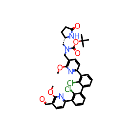 COc1nc(-c2cccc(-c3cccc(-c4ccc(CN(C[C@@H]5CCC(=O)N5)C(=O)OC(C)(C)C)c(OC)n4)c3Cl)c2Cl)ccc1C=O